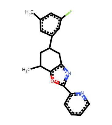 Cc1cc(F)cc(C2Cc3nc(-c4ccccn4)oc3C(C)C2)c1